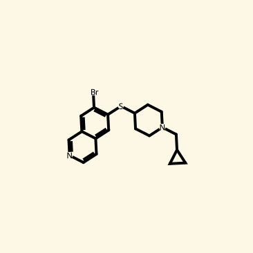 Brc1cc2cnccc2cc1SC1CCN(CC2CC2)CC1